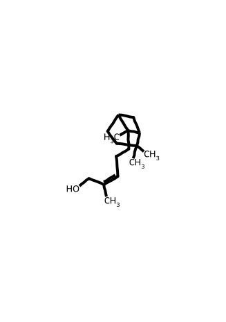 C/C(=C/CCC1(C)C2CCC(C)(C)C1C2)CO